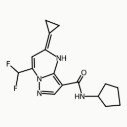 O=C(NC1CCCC1)c1cnn2c1NC(=C1CC1)C=C2C(F)F